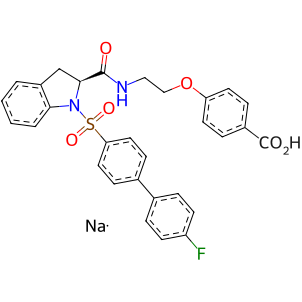 O=C(O)c1ccc(OCCNC(=O)[C@@H]2Cc3ccccc3N2S(=O)(=O)c2ccc(-c3ccc(F)cc3)cc2)cc1.[Na]